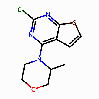 CC1COCCN1c1nc(Cl)nc2sccc12